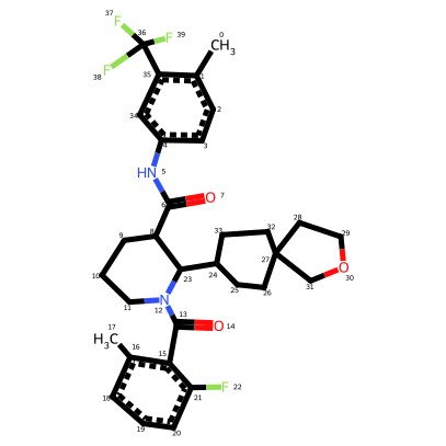 Cc1ccc(NC(=O)C2CCCN(C(=O)c3c(C)cccc3F)C2C2CCC3(CCOC3)CC2)cc1C(F)(F)F